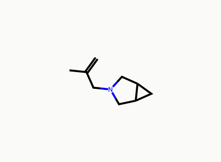 C=C(C)CN1CC2CC2C1